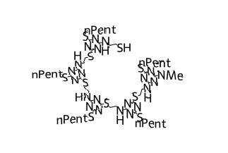 CCCCCSc1nc(NC)nc(NCCSc2nc(NCCSc3nc(NCCSc4nc(NCCSc5nc(NCCS)nc(SCCCCC)n5)nc(SCCCCC)n4)nc(SCCCCC)n3)nc(SCCCCC)n2)n1